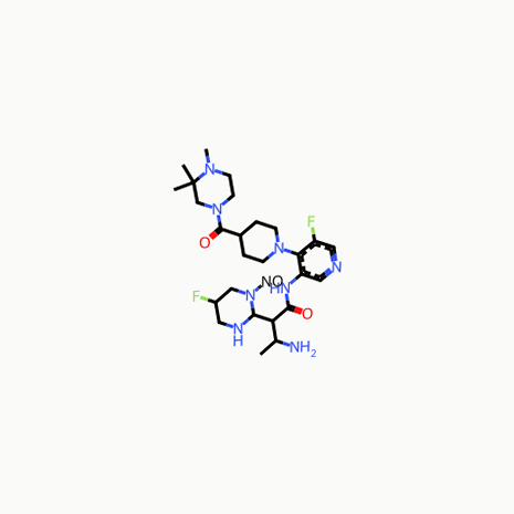 CC(N)C(C(=O)Nc1cncc(F)c1N1CCC(C(=O)N2CCN(C)C(C)(C)C2)CC1)C1NCC(F)CN1N=O